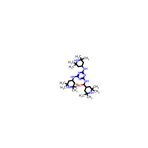 CC1(C)CC(Nc2nc(NC3CC(C)(C)NC(C)(C)C3)nc(NC(O)C3CC(C)(C)NC(C)(C)C3)n2)CC(C)(C)N1